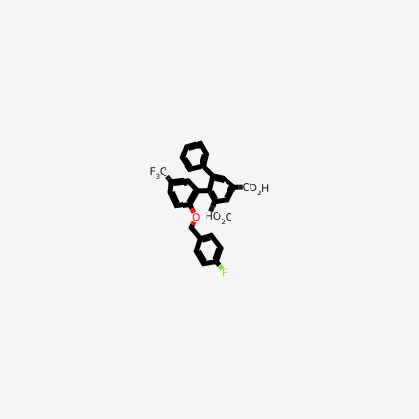 O=C(O)c1cc(C(=O)O)c(-c2cc(C(F)(F)F)ccc2OCc2ccc(F)cc2)c(-c2ccccc2)c1